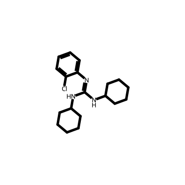 Clc1ccccc1N=C(NC1CCCCC1)NC1CCCCC1